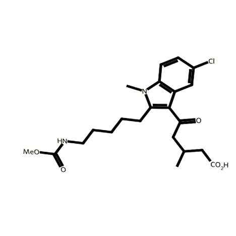 COC(=O)NCCCCCc1c(C(=O)CC(C)CC(=O)O)c2cc(Cl)ccc2n1C